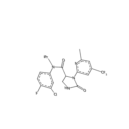 Cc1cc(C(F)(F)F)cc(N2C(=O)NCC2C(=O)N(c2ccc(F)c(Cl)c2)C(C)C)n1